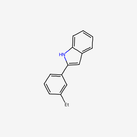 CCc1cccc(-c2cc3ccccc3[nH]2)c1